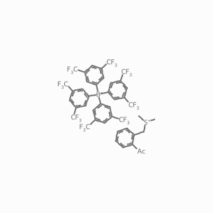 CC(=O)c1ccccc1C[S+](C)C.FC(F)(F)c1cc([B-](c2cc(C(F)(F)F)cc(C(F)(F)F)c2)(c2cc(C(F)(F)F)cc(C(F)(F)F)c2)c2cc(C(F)(F)F)cc(C(F)(F)F)c2)cc(C(F)(F)F)c1